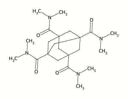 CN(C)C(=O)C12CC3(C(=O)N(C)C)CC(C(=O)N(C)C)(C1)CC(C(=O)N(C)C)(C2)C3